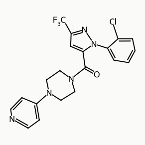 O=C(c1cc(C(F)(F)F)nn1-c1ccccc1Cl)N1CCN(c2ccncc2)CC1